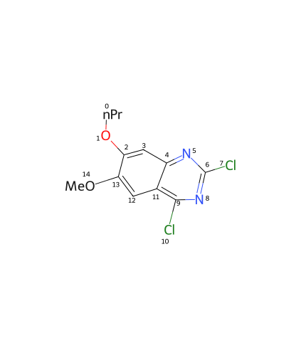 CCCOc1cc2nc(Cl)nc(Cl)c2cc1OC